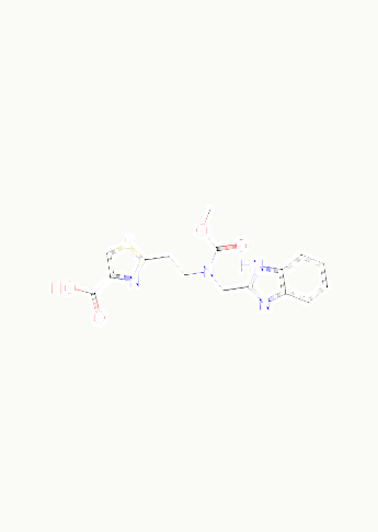 COC(=O)N(CCc1nc(C(=O)O)cs1)Cc1nc2ccccc2[nH]1